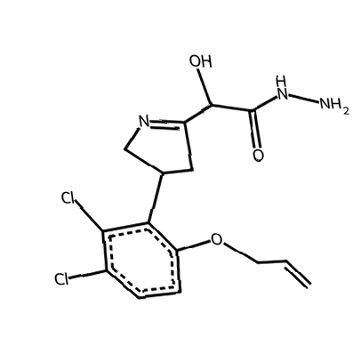 C=CCOc1ccc(Cl)c(Cl)c1C1CN=C(C(O)C(=O)NN)C1